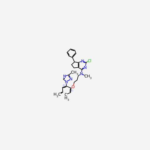 C=C/C=C(\C(=C/C)OCCCN(C)c1nc(Cl)nc2c1CCC2c1ccccc1)n1cnc(C)n1